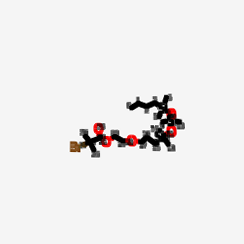 CCCC[Si](C)(C)O[Si](C)(C)O[Si](C)(C)CCCOCCOC(=O)C(C)(C)Br